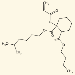 C=CC(=O)OC1(C(=O)OCCCCC(C)C)CCCCC1C(=O)OCCCC